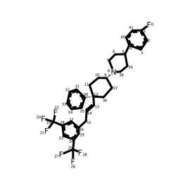 Fc1ccc(C2CCN([C@H]3CC[C@@](/C=C/Cc4cc(C(F)(F)F)cc(C(F)(F)F)c4)(c4ccccc4)CC3)CC2)cc1